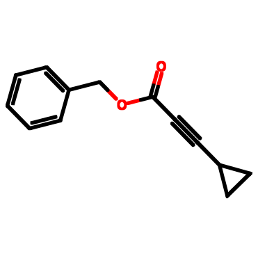 O=C(C#CC1CC1)OCc1ccccc1